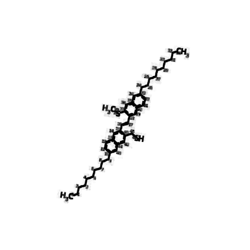 CCCCCCCCCCc1ccc2cc(/C=C/c3cc4ccc(CCCCCCCCCC)cc4cc3SC)c(CS)cc2c1